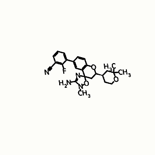 CN1OC2(CC([C@@H]3CCOC(C)(C)C3)Oc3ccc(-c4cccc(C#N)c4F)cc32)N=C1N